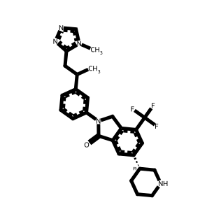 CC(Cc1nncn1C)c1cccc(N2Cc3c(cc([C@H]4CCCNC4)cc3C(F)(F)F)C2=O)c1